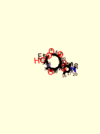 CC[C@H]1OC(=O)[C@H](C)C(=O)[C@H](C)[C@@H](OC2OC(C)CC(N(C)C)C2C)[C@](C)(OC)C[C@@H](C)C(=O)/C(C)=C/[C@]1(C)O